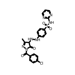 CC1=NN(C(=O)c2ccc(Cl)cc2)C(=O)C1NNc1ccc(S(=O)(=O)Nc2ncccn2)cc1